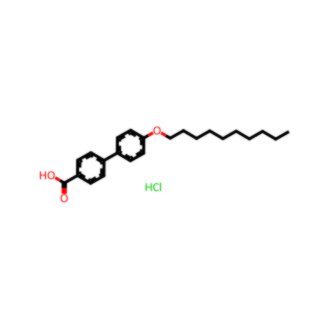 CCCCCCCCCCOc1ccc(-c2ccc(C(=O)O)cc2)cc1.Cl